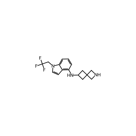 FC(F)(F)Cn1ccc2c(NC3CC4(CNC4)C3)cccc21